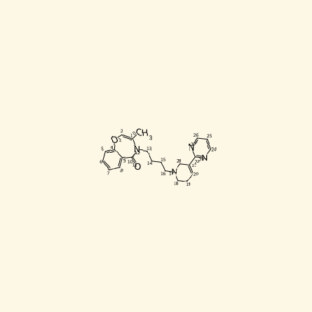 CC1=COc2ccccc2C(=O)N1CCCCN1CCC=C(c2ncccn2)C1